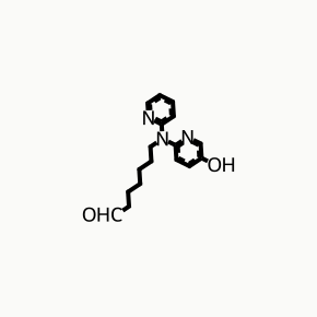 O=CCCCCCCN(c1ccccn1)c1ccc(O)cn1